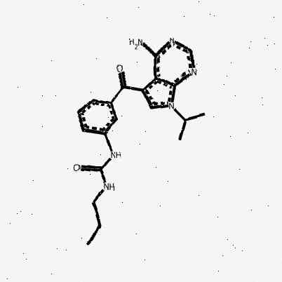 CCCNC(=O)Nc1cccc(C(=O)c2cn(C(C)C)c3ncnc(N)c23)c1